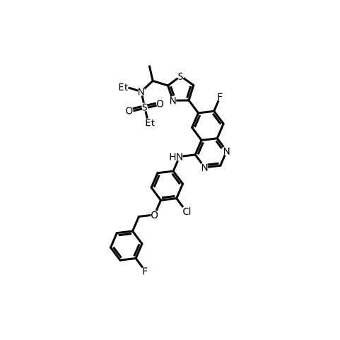 CCN(C(C)c1nc(-c2cc3c(Nc4ccc(OCc5cccc(F)c5)c(Cl)c4)ncnc3cc2F)cs1)S(=O)(=O)CC